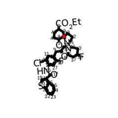 CCOC(=O)C1CCC(OC(C(=O)Cc2cc(Cl)c(NC(=O)c3csc4ccccc34)cc2F)(N2CCCC2)N2CCC(F)CC2)CC1